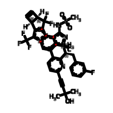 Cn1nc(NS(C)(=O)=O)c2c(Cl)ccc(-c3ccc(C#CC(C)(C)O)nc3[C@H](Cc3cccc(F)c3)NC(=O)Cn3nc(C(F)(F)F)c4c3C(F)(F)[C@@H]3C#C[C@H]43)c21